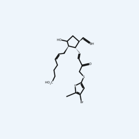 B=C[C@@H]1CC(O)[C@H](C/C=C\CCCC(=O)O)[C@H]1/C=C/C(=O)CSc1cc(Br)c(C)s1